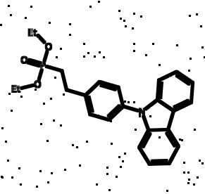 CCOP(=O)(CCc1ccc(-n2c3ccccc3c3ccccc32)cc1)OCC